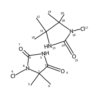 CC1(C)C(=O)NC(=O)N1Cl.CC1(C)NC(=O)N(Cl)C1(C)C